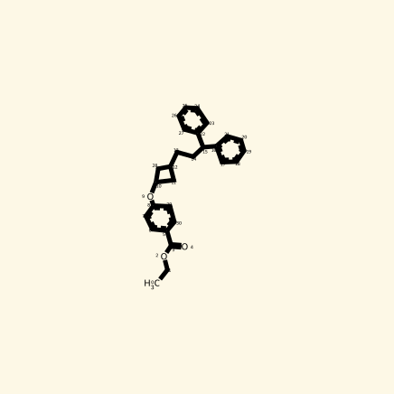 CCOC(=O)c1ccc(OC2CC(CCC(c3ccccc3)c3ccccc3)C2)cc1